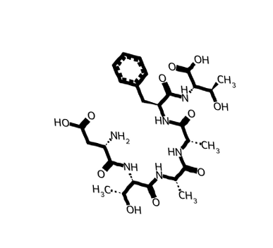 C[C@H](NC(=O)[C@H](C)NC(=O)[C@@H](NC(=O)[C@@H](N)CC(=O)O)[C@@H](C)O)C(=O)N[C@@H](Cc1ccccc1)C(=O)N[C@H](C(=O)O)[C@@H](C)O